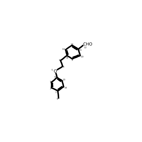 Cc1ccc(OCCc2ccc(C=O)cc2)cc1